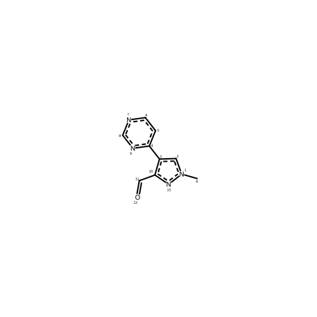 Cn1cc(-c2ccncn2)c(C=O)n1